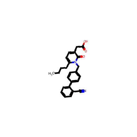 CCCCc1ccc(CC(=O)O)c(=O)n1Cc1ccc(-c2ccccc2C#N)cc1